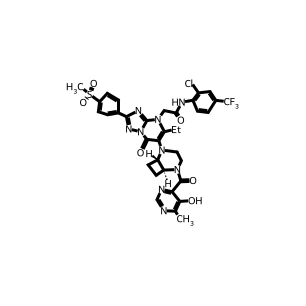 CCc1c(N2CCN(C(=O)c3ncnc(C)c3O)[C@H]3CC[C@@H]32)c(=O)n2nc(-c3ccc(S(C)(=O)=O)cc3)nc2n1CC(=O)Nc1ccc(C(F)(F)F)cc1Cl